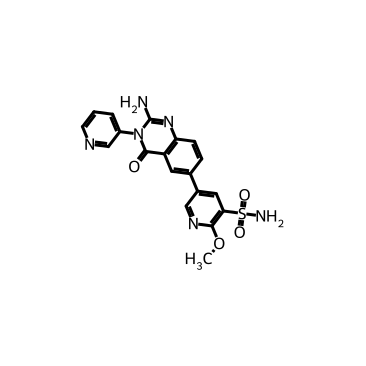 COc1ncc(-c2ccc3nc(N)n(-c4cccnc4)c(=O)c3c2)cc1S(N)(=O)=O